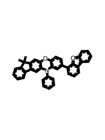 CC1(C)c2ccccc2-c2cc3c(cc21)Oc1ccc(-c2cccc4c2oc2ccccc24)cc1N3c1ccccc1